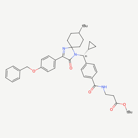 CC(C)(C)OC(=O)CCNC(=O)c1ccc([C@@H](C2CC2)N2C(=O)C(c3ccc(OCc4ccccc4)cc3)=NC23CCC(C(C)(C)C)CC3)cc1